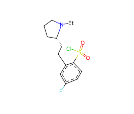 CCN1CCC[C@H]1CCc1cc(F)ccc1S(=O)(=O)Cl